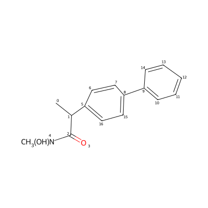 CC(C(=O)N(C)O)c1ccc(-c2ccccc2)cc1